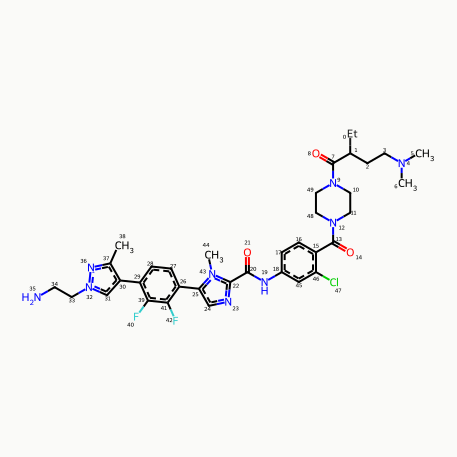 CCC(CCN(C)C)C(=O)N1CCN(C(=O)c2ccc(NC(=O)c3ncc(-c4ccc(-c5cn(CCN)nc5C)c(F)c4F)n3C)cc2Cl)CC1